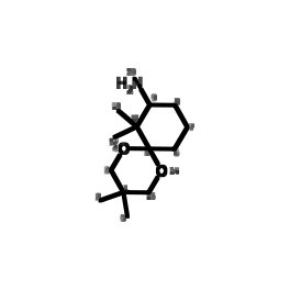 CC1(C)COC2(CCCC(N)C2(C)C)OC1